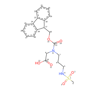 CS(=O)(=O)NCCCN(CC(=O)O)C(=O)OCC1c2ccccc2-c2ccccc21